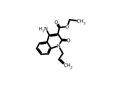 C=CCn1c(=O)c(C(=O)OCC)c(N)c2ccccc21